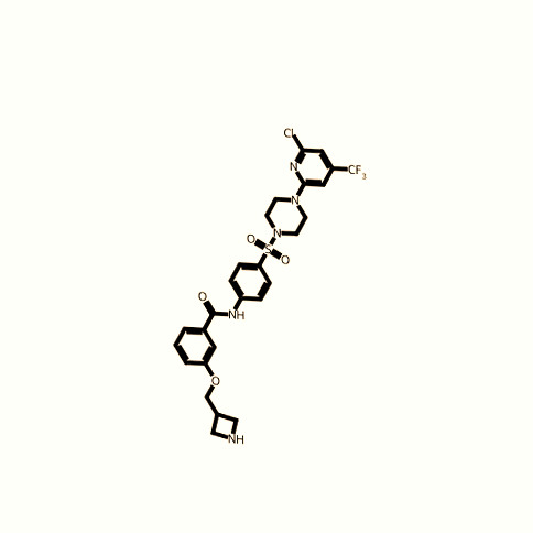 O=C(Nc1ccc(S(=O)(=O)N2CCN(c3cc(C(F)(F)F)cc(Cl)n3)CC2)cc1)c1cccc(OCC2CNC2)c1